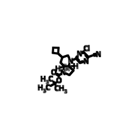 CC(C)(C)OC(=O)N1CC[C@@H]2[C@H]1CC(C1CCC1)CN2c1cnc(C#N)c(Cl)n1